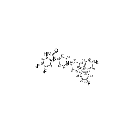 O=c1[nH]c2cc(F)c(F)cc2n1C1CCN(C2CCC(c3ccc(F)cc3)(c3ccc(F)cc3)CC2)CC1